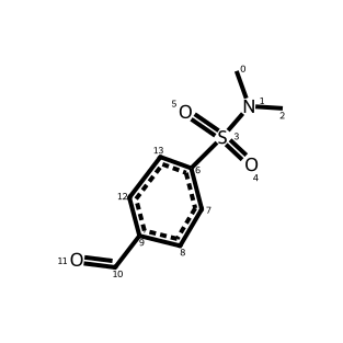 CN(C)S(=O)(=O)c1ccc(C=O)cc1